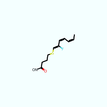 C\C=C/C=C\C(F)=C\SCCCC(=O)N=O